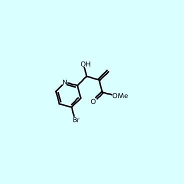 C=C(C(=O)OC)C(O)c1cc(Br)ccn1